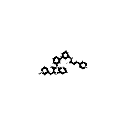 O=C(/C=C/c1ccncc1)Nc1cccc(-c2cccc(-n3c(=O)c(Cc4ccc[n+]([O-])c4)nc4cccnc43)c2)c1